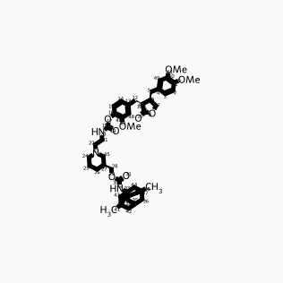 COc1ccc(C[C@H]2COC(=O)[C@@H]2Cc2ccc(OC(=O)NCCN3CCC[C@H](COC(=O)NC45CC6CC(C)(CC(C)(C6)C4)C5)C3)c(OC)c2)cc1OC